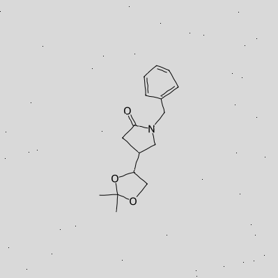 CC1(C)OCC(C2CC(=O)N(Cc3ccccc3)C2)O1